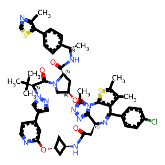 Cc1ncsc1-c1ccc([C@H](C)NC(=O)[C@@H]2C[C@@H](O)CN2C(=O)[C@@H](n2cc(-c3ccnc(O[C@H]4C[C@H](NC(=O)C[C@@H]5N=C(c6ccc(Cl)cc6)c6c(sc(C)c6C)-n6c(C)nnc65)C4)c3)cn2)C(C)(C)C)cc1